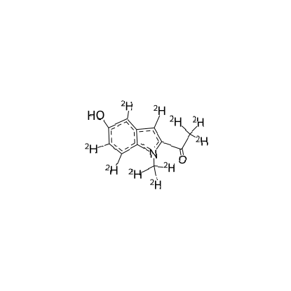 [2H]c1c(O)c([2H])c2c([2H])c(C(=O)C([2H])([2H])[2H])n(C([2H])([2H])[2H])c2c1[2H]